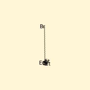 CCO[Si](CCCCCCCCCCCCCCCCCCCCCCCCCCCCCCCCCCCCCCBr)(OCC)OCC